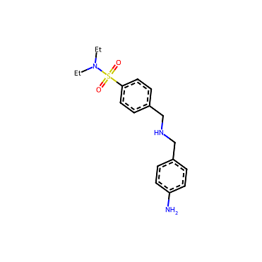 CCN(CC)S(=O)(=O)c1ccc(CNCc2ccc(N)cc2)cc1